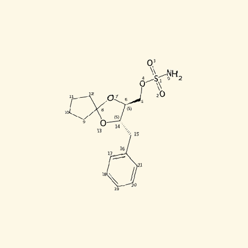 NS(=O)(=O)OC[C@@H]1OC2(CCCC2)O[C@H]1Cc1ccccc1